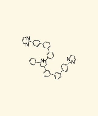 c1ccc(-c2cc(-c3cccc(-c4cccc(-c5ccc(-c6ncccn6)cc5)c4)c3)cc(-c3cccc(-c4cccc(-c5ccc(-c6ncccn6)cc5)c4)c3)n2)cc1